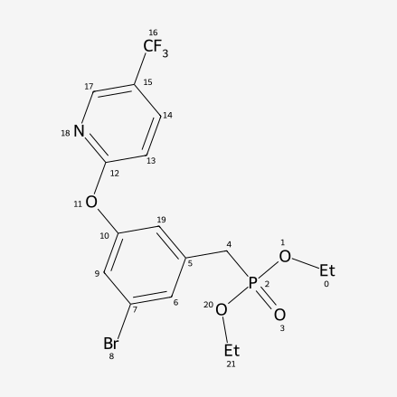 CCOP(=O)(Cc1cc(Br)cc(Oc2ccc(C(F)(F)F)cn2)c1)OCC